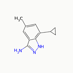 Cc1cc(C2CC2)c2[nH]nc(N)c2c1